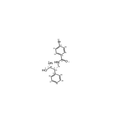 CCC[C@@H](O)[C@H](CNC(=O)c1ccc(Br)cc1)c1ccccc1